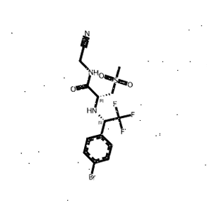 CS(=O)(=O)C[C@H](N[C@@H](c1ccc(Br)cc1)C(F)(F)F)C(=O)NCC#N